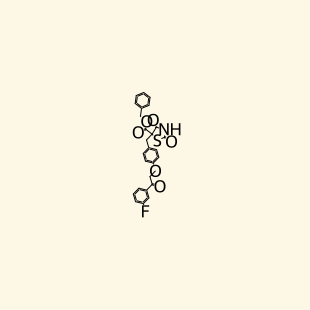 O=C1NC(=O)C(Cc2ccc(OCC(=O)c3cccc(F)c3)cc2)(C(=O)OCc2ccccc2)S1